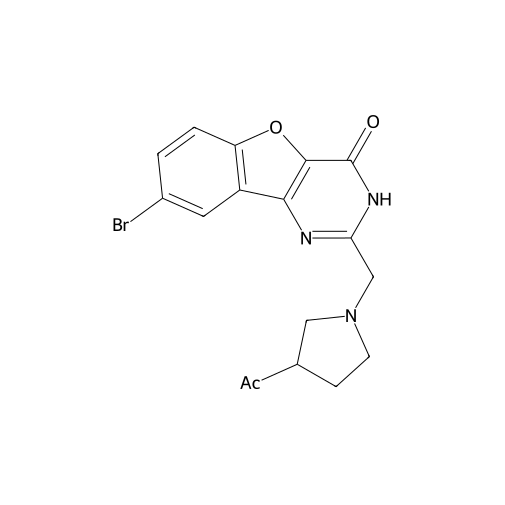 CC(=O)C1CCN(Cc2nc3c(oc4ccc(Br)cc43)c(=O)[nH]2)C1